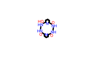 O=C1NCCNC(=O)c2cccc(n2)C(O)NCCNC(=O)c2cccc1n2